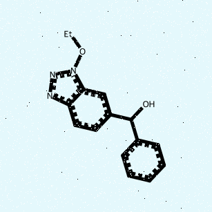 CCOn1nnc2ccc(C(O)c3ccccc3)cc21